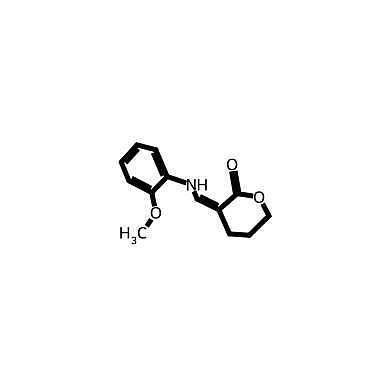 COc1ccccc1NC=C1CCCOC1=O